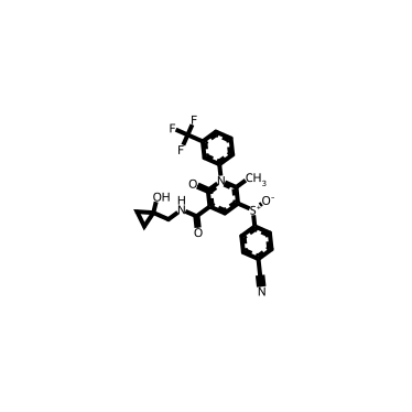 Cc1c([S+]([O-])c2ccc(C#N)cc2)cc(C(=O)NCC2(O)CC2)c(=O)n1-c1cccc(C(F)(F)F)c1